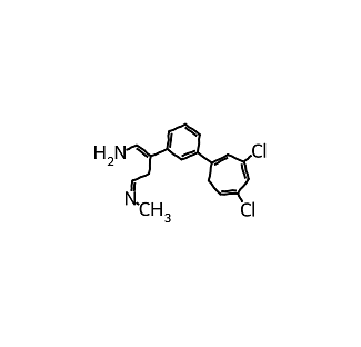 C/N=C\C/C(=C\N)c1cccc(C2=CC(Cl)=CC(Cl)=CC2)c1